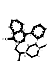 CC(Cn1cc(-c2ccccc2)c2ccccc2c1=O)N1CCN(C)CC1